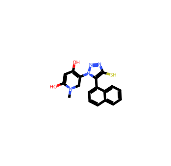 CN1CC(n2nnc(S)c2-c2cccc3ccccc23)=C(O)C=C1O